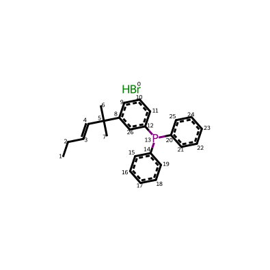 Br.CCC=CC(C)(C)c1cccc(P(c2ccccc2)c2ccccc2)c1